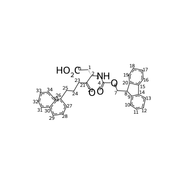 O=C(O)C[C@H](NC(=O)OCC1c2ccccc2-c2ccccc21)C(=O)CCCc1cccc2ccccc12